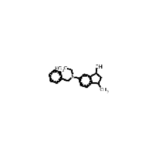 CC1CC(O)c2cc(N(CC(=O)O)Cc3ccccc3)ccc21